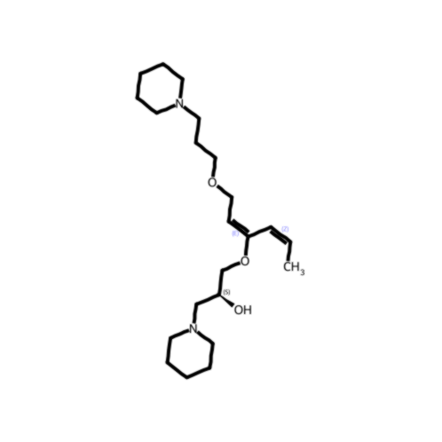 C/C=C\C(=C/COCCCN1CCCCC1)OC[C@@H](O)CN1CCCCC1